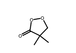 CC1(C)COOC1=O